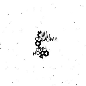 COCC[C@H](c1cccc(C(=O)NC2c3ccccc3C3(CC3)C2O)c1)N1C(=N)NC(C)(C)CC1=O